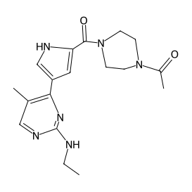 CCNc1ncc(C)c(-c2c[nH]c(C(=O)N3CCN(C(C)=O)CC3)c2)n1